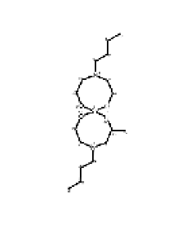 CCCCN1CC[O][Sn]2([O]CC1)[O]CCN(CCCC)CC(C)[O]2